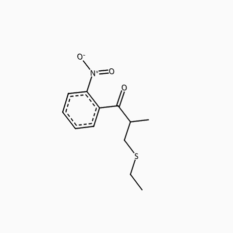 CCSCC(C)C(=O)c1ccccc1[N+](=O)[O-]